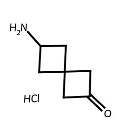 Cl.NC1CC2(CC(=O)C2)C1